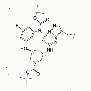 CC(C)(C)OC(=O)N1C[C@@H](O)C[C@H](Nc2cc(N(C(=O)OC(C)(C)C)c3cccc(F)c3)n3ncc(C4CC4)c3n2)C1